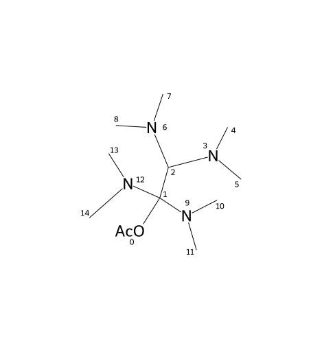 CC(=O)OC(C(N(C)C)N(C)C)(N(C)C)N(C)C